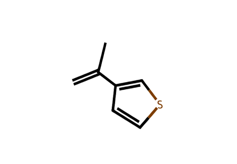 C=C(C)c1ccsc1